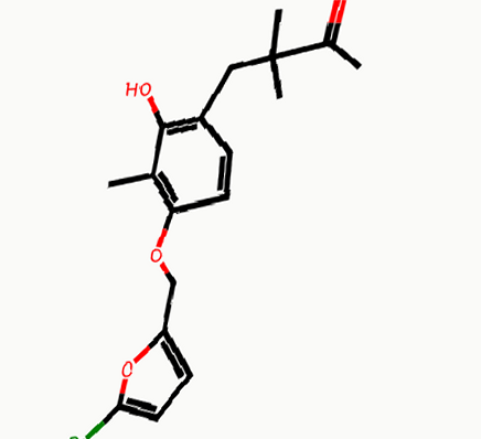 CC(=O)C(C)(C)Cc1ccc(OCc2ccc(Br)o2)c(C)c1O